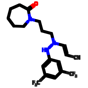 N#CC=CN(CCCN1CCCCCC1=O)Nc1cc(C(F)(F)F)cc(C(F)(F)F)c1